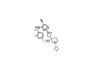 C#Cc1cnc(N2CC([C@@]3(S)CCCN([C@H]4C[C@@H](C)C4)C3)C2)nc1N[C@H](C)c1ccc(C)cc1C